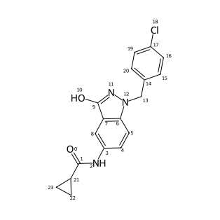 O=C(Nc1ccc2c(c1)c(O)nn2Cc1ccc(Cl)cc1)C1CC1